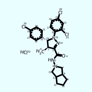 C[C@@H]1C(C(=O)NN2CC3CCCC3C2)=NN(c2ccc(Cl)cc2Cl)[C@H]1c1ccc(Cl)cc1.Cl